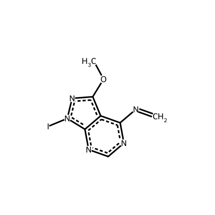 C=Nc1ncnc2c1c(OC)nn2I